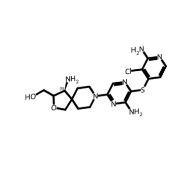 Nc1nc(N2CCC3(CC2)COC(CO)[C@H]3N)cnc1Sc1ccnc(N)c1Cl